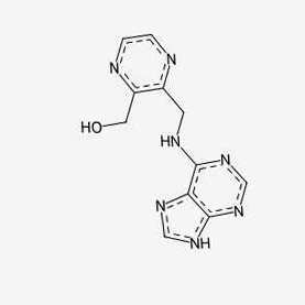 OCc1nccnc1CNc1ncnc2[nH]cnc12